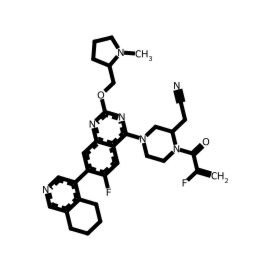 C=C(F)C(=O)N1CCN(c2nc(OCC3CCCN3C)nc3cc(-c4cncc5c4CCCC5)c(F)cc23)CC1CC#N